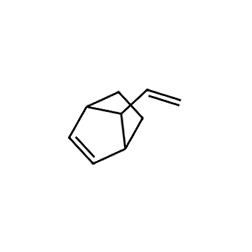 C=CC1C2C=CC1CC2